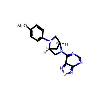 COc1ccc(N2C[C@@H]3C[C@H]2CN3c2ncnc3nsnc23)cc1